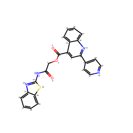 O=C(COC(=O)c1cc(-c2ccncc2)nc2ccccc12)Nc1nc2ccccc2s1